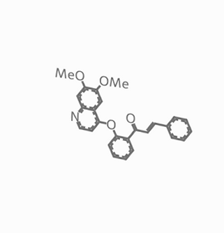 COc1cc2nccc(Oc3ccccc3C(=O)/C=C/c3ccccc3)c2cc1OC